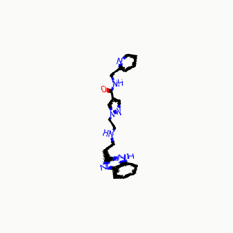 O=C(NCc1ccccn1)c1cnn(CCNCCc2nc3ccccc3[nH]2)c1